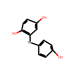 Oc1ccc([Te]c2cc(O)ccc2O)cc1